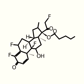 CCCCC(=O)O[C@]1(C(=O)CF)C(C)C[C@H]2[C@@H]3CC(F)C4=C(F)C(=O)C=C[C@]4(C)[C@@]3(F)C(O)C[C@@]21C